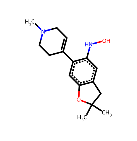 CN1CC=C(c2cc3c(cc2NO)CC(C)(C)O3)CC1